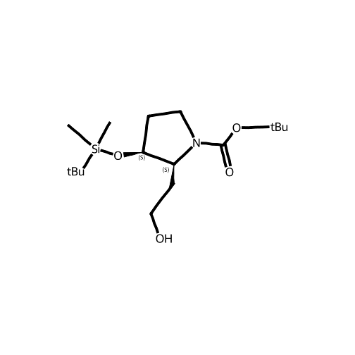 CC(C)(C)OC(=O)N1CC[C@H](O[Si](C)(C)C(C)(C)C)[C@@H]1CCO